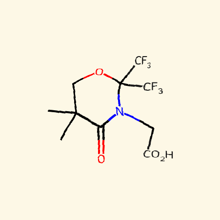 CC1(C)COC(C(F)(F)F)(C(F)(F)F)N(CC(=O)O)C1=O